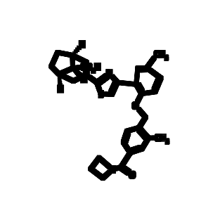 Cc1ccc(OCc2ccc(C(=O)N3CCC3)cc2C)c(-c2csc(N3C[C@H]4CC[C@@H](C3)[C@@H]4C(=O)O)n2)c1